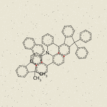 CC1(C)c2ccccc2-c2ccc(N(c3ccccc3-c3cccc4c3-c3ccccc3C4(c3ccccc3)c3ccccc3)c3ccccc3-c3cccc4oc5c6ccccc6ccc5c34)cc21